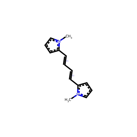 Cn1cccc1/C=C/C=C/c1cccn1C